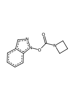 O=C(On1ncc2ccccc21)N1CCC1